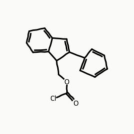 O=C(Cl)OCC1C(c2ccccc2)=Cc2ccccc21